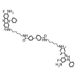 C=C1C=C(NCCCCCCNC(=O)c2ccc(-c3ccc(C(=O)NCCCCCCNc4cc5c(cc4C)nc4cc(F)c(N)cc4[n+]5-c4ccccc4)cc3)cc2)C(C)=C/C1=N/c1cc(F)c(N)cc1Nc1ccccc1